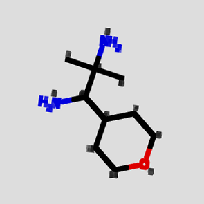 CC(C)(N)C(N)C1CCOCC1